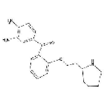 Nc1ccc(C(=O)c2ccccc2OCCC2CCCCN2)cc1N